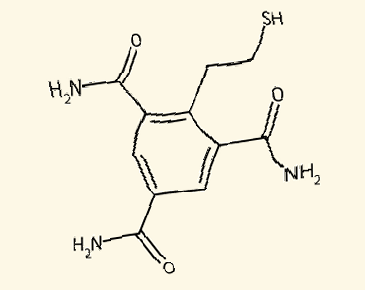 NC(=O)c1cc(C(N)=O)c(CCS)c(C(N)=O)c1